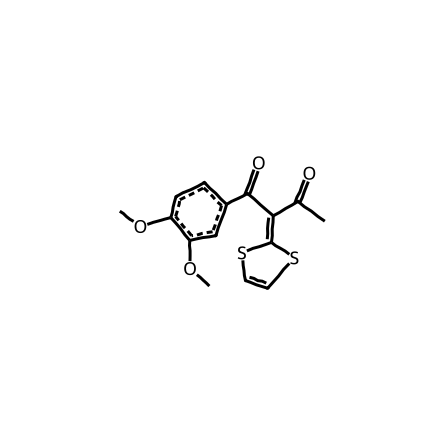 COc1ccc(C(=O)C(C(C)=O)=C2SC=CS2)cc1OC